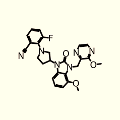 COc1nccnc1Cn1c(=O)n(C2CCN(c3c(F)cccc3C#N)C2)c2cccc(OC)c21